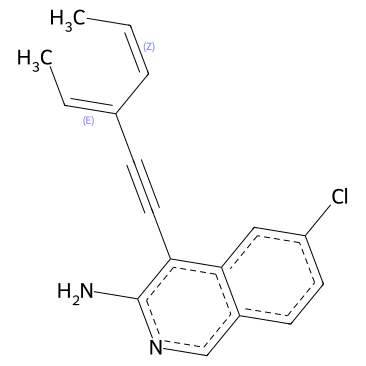 C/C=C\C(C#Cc1c(N)ncc2ccc(Cl)cc12)=C/C